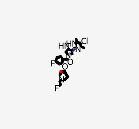 CC1=N/C(=C2\CN(C(=O)c3ccc(F)cc3OC3CC4CC3=CCN4CCF)CC2=N)NC(C)=C1Cl